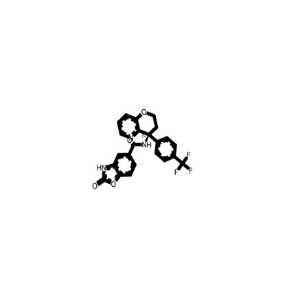 O=C(N[C@]1(c2ccc(C(F)(F)F)cc2)CCOc2cccnc21)c1ccc2oc(=O)[nH]c2c1